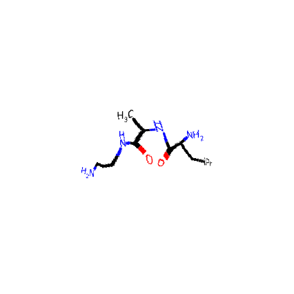 CC(C)CC(N)C(=O)NC(C)C(=O)NCCN